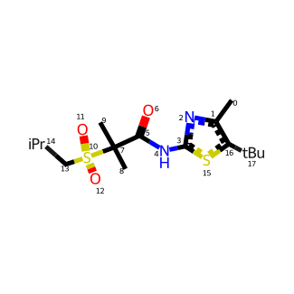 Cc1nc(NC(=O)C(C)(C)S(=O)(=O)CC(C)C)sc1C(C)(C)C